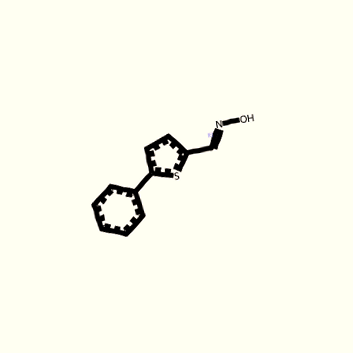 O/N=C/c1ccc(-c2ccccc2)s1